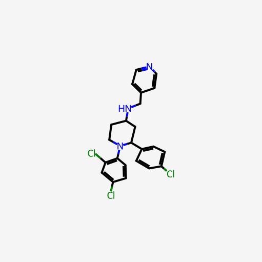 Clc1ccc(C2CC(NCc3ccncc3)CCN2c2ccc(Cl)cc2Cl)cc1